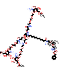 CC(=O)OCC1OC(OCCOCCOCCNC(=O)CCOCC(COCCC(=O)NCCOCCOCCOC2OC(COC(C)=O)C(O)C(O)C2N)(COCCC(=O)NCCOCCOCCOC2OC(COC(C)=O)C(O)C(O)C2N)NC(=O)CCCCCCCCCCC(=O)NCCOC(C)(OCCNC(=O)OCc2ccccc2)C(C)(C)C)C(N)C(O)C1O